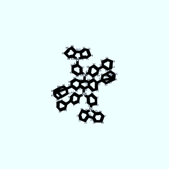 c1ccc(-c2ccc(N(c3cccc(-n4c5ccccc5c5ccccc54)c3)c3c4ccc(C56CC7CC(CC(C7)C5)C6)cc4c(N(c4ccc(-c5ccccc5)cc4)c4cccc(-n5c6ccccc6c6ccccc65)c4)c4ccc(C56CC7CC(CC(C7)C5)C6)cc34)cc2)cc1